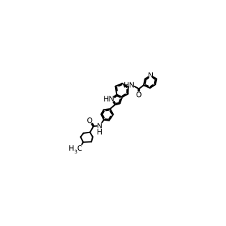 CC1CCC(C(=O)Nc2ccc(-c3cc4cc(NC(=O)c5cccnc5)ccc4[nH]3)cc2)CC1